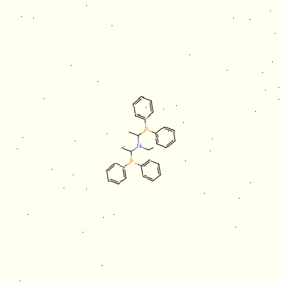 CCN(C(C)P(c1ccccc1)c1ccccc1)C(C)P(c1ccccc1)c1ccccc1